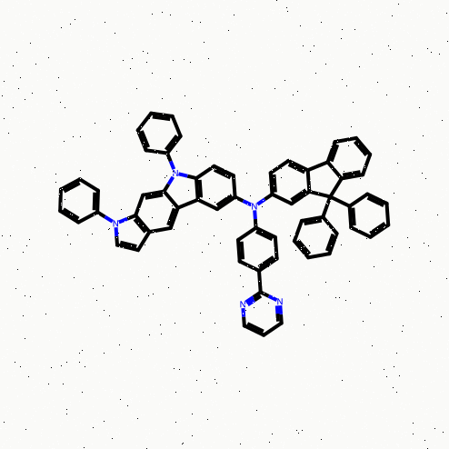 c1ccc(-n2ccc3cc4c5cc(N(c6ccc(-c7ncccn7)cc6)c6ccc7c(c6)C(c6ccccc6)(c6ccccc6)c6ccccc6-7)ccc5n(-c5ccccc5)c4cc32)cc1